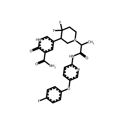 CC(C(=O)Nc1ccc(Oc2ccc(F)cc2)cn1)N1CCC(F)(F)C(c2c[nH]c(=O)c(C(N)=O)c2)C1